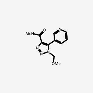 CNC(=O)c1nnn(COC)c1-c1cccnc1